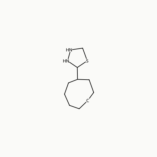 C1CCCC(C2NNCS2)CCC1